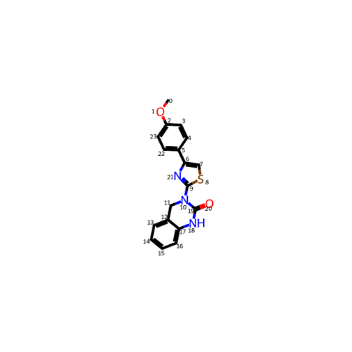 COc1ccc(-c2csc(N3Cc4ccccc4NC3=O)n2)cc1